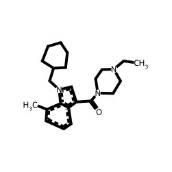 CCN1CCN(C(=O)c2cn(CC3CCCCC3)c3c(C)cccc23)CC1